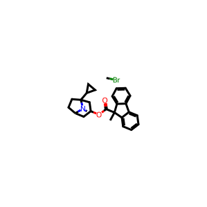 CBr.CN1C2CCC1(C1CC1)CC(OC(=O)C1(C)c3ccccc3-c3ccccc31)C2